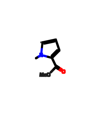 COC(=O)c1cc[c]n1C